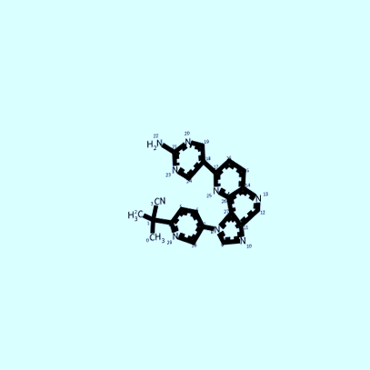 CC(C)(C#N)c1ccc(-n2cnc3cnc4ccc(-c5cnc(N)nc5)nc4c32)cn1